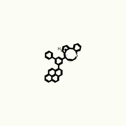 C=c1c2ccc/c1=C(c1cc(-c3ccccc3)cc(-c3ccc4ccc5cccc6ccc3c4c56)c1)/C=C\CSc1ccccc1-2